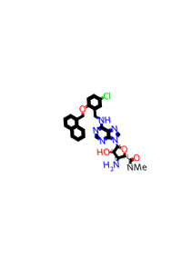 CNC(=O)[C@H]1O[C@@H](n2cnc3c(NCc4cc(Cl)ccc4OCc4cccc5ccccc45)ncnc32)[C@H](O)[C@@H]1N